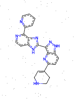 C1=C(c2ccc3[nH]nc(-c4nc5c(-c6ccccn6)nccc5[nH]4)c3n2)CCNC1